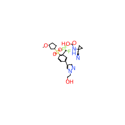 CO[C@@H]1CC[C@@H](S(=O)(=O)c2ccc(-c3cnn(CCO)c3)cc2C(F)(F)F)C1.N#CC1(NC(=O)O)CC1